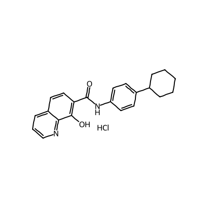 Cl.O=C(Nc1ccc(C2CCCCC2)cc1)c1ccc2cccnc2c1O